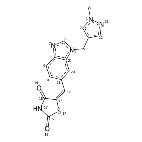 Cn1cc(Cn2cnc3ccc(C=C4SC(=O)NC4=O)cc32)cn1